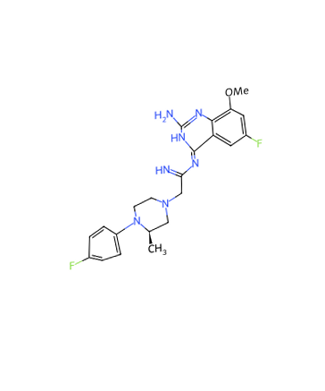 COc1cc(F)cc2/c(=N/C(=N)CN3CCN(c4ccc(F)cc4)[C@H](C)C3)[nH]c(N)nc12